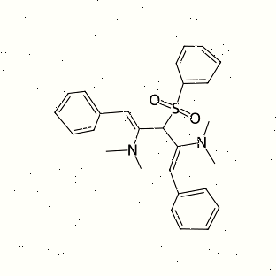 CN(C)C(=Cc1ccccc1)C(C(=Cc1ccccc1)N(C)C)S(=O)(=O)c1ccccc1